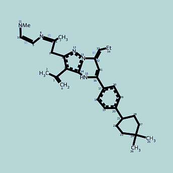 C=C(C)c1c(C/C(C)=N\C=C/NC)nn2c1NC(c1ccc(C3CCC(C)(C)CC3)cc1)=C/C2=C\CC